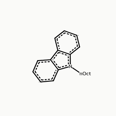 CCCCCCCCn1c2c[c]ccc2c2cc[c]cc21